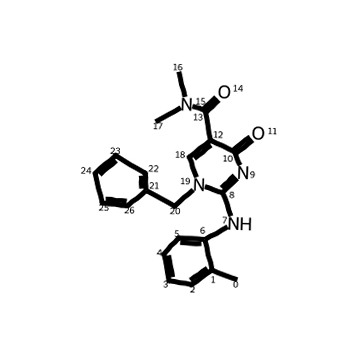 Cc1ccccc1Nc1nc(=O)c(C(=O)N(C)C)cn1Cc1ccccc1